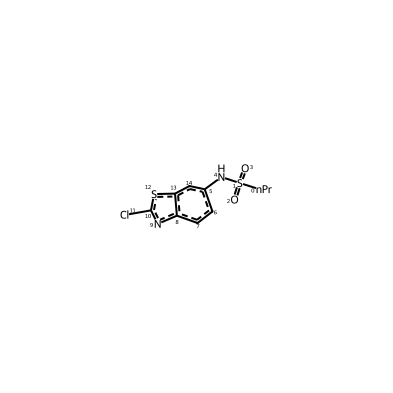 CCCS(=O)(=O)Nc1ccc2nc(Cl)sc2c1